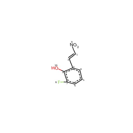 O=[N+]([O-])C=Cc1cccc(F)c1O